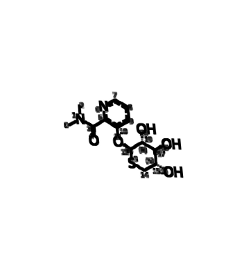 CN(C)C(=O)c1ncccc1O[C@@H]1SC[C@@H](O)[C@H](O)[C@H]1O